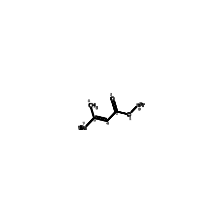 CCCOC(=O)/C=C(\C)C(C)(C)C